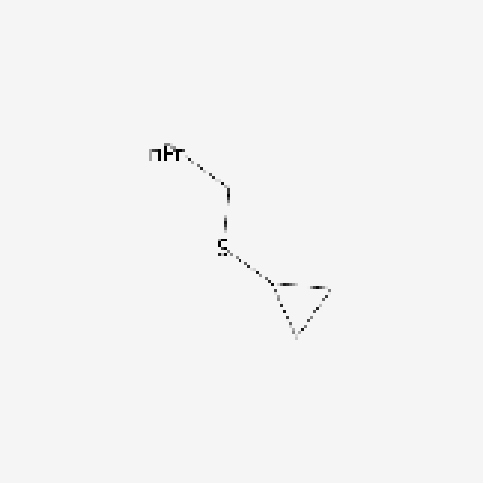 CCCCSC1CC1